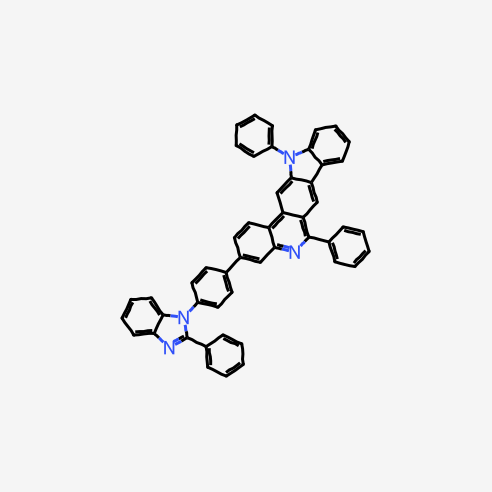 c1ccc(-c2nc3cc(-c4ccc(-n5c(-c6ccccc6)nc6ccccc65)cc4)ccc3c3cc4c(cc23)c2ccccc2n4-c2ccccc2)cc1